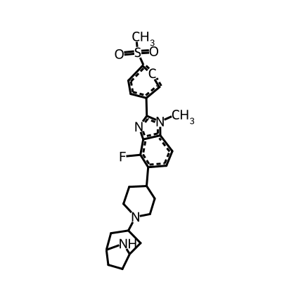 Cn1c(-c2ccc(S(C)(=O)=O)cc2)nc2c(F)c(C3CCN(C4CC5CCC(C4)N5)CC3)ccc21